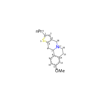 CCCc1cc2c(s1)CC1c3ccc(OC)cc3CCN1C2